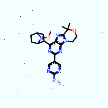 CON1C2CCC1C(c1nc(-c3cnc(N)nc3)nc3c1nc1n3CCOC1(C)C)C2